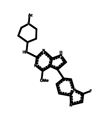 COc1nc(NC2CCN(C(C)=O)CC2)nc2[nH]cc(-c3ccc4ncc(F)n4c3)c12